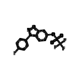 O=S(=O)(Oc1ccc2c(-c3ccc(I)cc3)noc2c1)C(F)(F)F